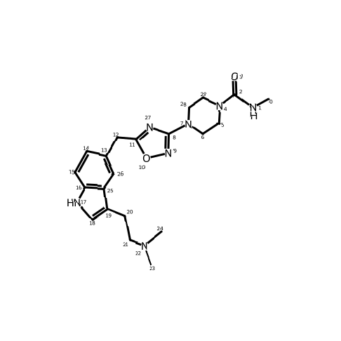 CNC(=O)N1CCN(c2noc(Cc3ccc4[nH]cc(CCN(C)C)c4c3)n2)CC1